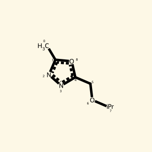 Cc1nnc(COC(C)C)o1